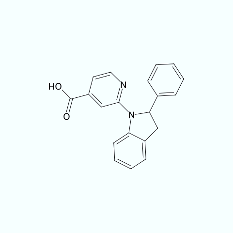 O=C(O)c1ccnc(N2c3ccccc3CC2c2ccccc2)c1